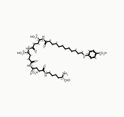 N[C@H](C=O)CCCCNC(=O)CC[C@H](NC(=O)CC[C@H](NC(=O)CC[C@H](NC(=O)CCCCCCCCCCCOc1ccc(C(=O)O)cc1)C(=O)O)C(=O)O)C(=O)O